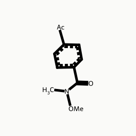 CON(C)C(=O)c1ccc(C(C)=O)cc1